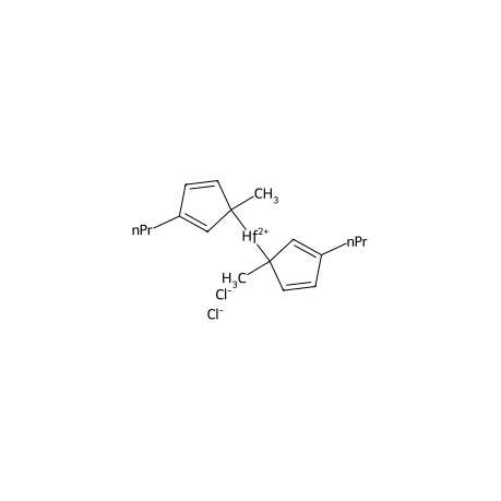 CCCC1=C[C](C)([Hf+2][C]2(C)C=CC(CCC)=C2)C=C1.[Cl-].[Cl-]